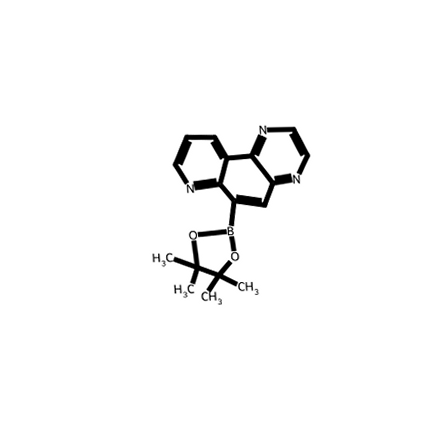 CC1(C)OB(c2cc3nccnc3c3cccnc23)OC1(C)C